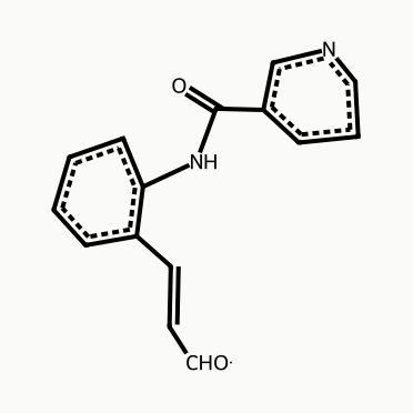 O=[C]/C=C/c1ccccc1NC(=O)c1cccnc1